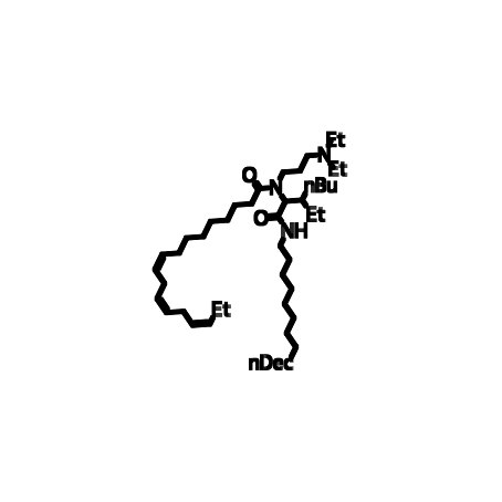 CC/C=C\C/C=C\C/C=C\CCCCCCCC(=O)N(CCCN(CC)CC)C(C(=O)NCCCCCCCCCCCCCCCCCC)C(CC)CCCC